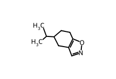 CC(C)C1CCc2oncc2C1